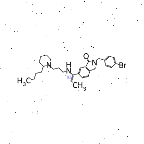 C/C=C(/NCCCN1CCCCC1CCCC)c1ccc2c(c1)C(=O)N(Cc1ccc(Br)cc1)C2